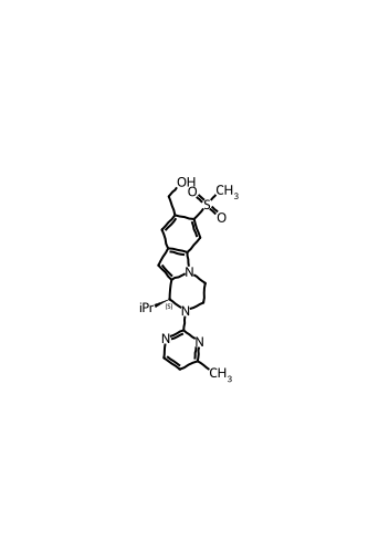 Cc1ccnc(N2CCn3c(cc4cc(CO)c(S(C)(=O)=O)cc43)[C@@H]2C(C)C)n1